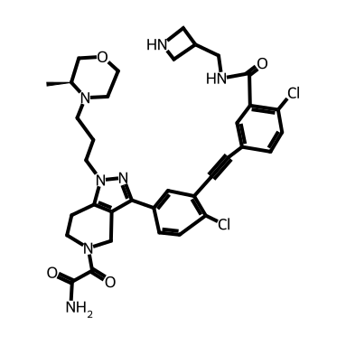 C[C@H]1COCCN1CCCn1nc(-c2ccc(Cl)c(C#Cc3ccc(Cl)c(C(=O)NCC4CNC4)c3)c2)c2c1CCN(C(=O)C(N)=O)C2